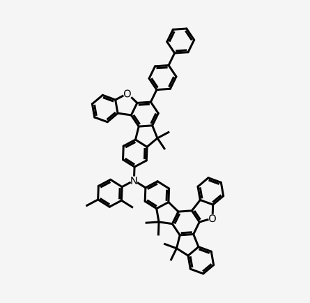 Cc1ccc(N(c2ccc3c(c2)C(C)(C)c2cc(-c4ccc(-c5ccccc5)cc4)c4oc5ccccc5c4c2-3)c2ccc3c(c2)C(C)(C)c2c4c(c5oc6ccccc6c5c2-3)-c2ccccc2C4(C)C)c(C)c1